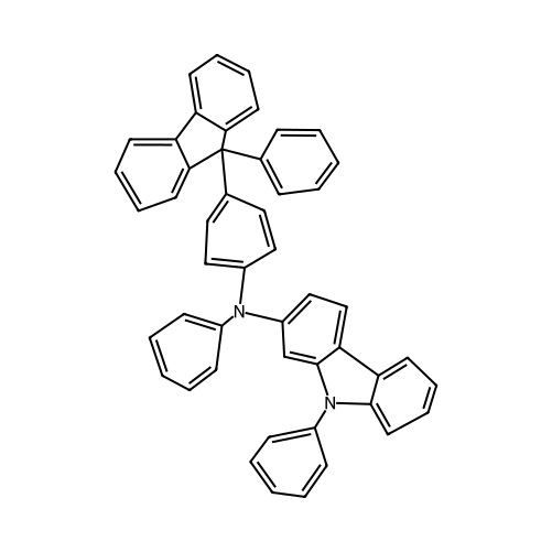 c1ccc(N(c2ccc(C3(c4ccccc4)c4ccccc4-c4ccccc43)cc2)c2ccc3c4ccccc4n(-c4ccccc4)c3c2)cc1